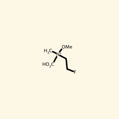 CO[N+](C)(CCF)C(=O)O